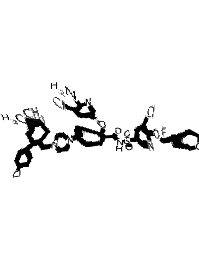 CC1(C)CCC(CN2CCN(c3ccc(C(=O)NS(=O)(=O)c4cnc(OCC5(F)CCOCC5)c(Cl)c4)c(Oc4cnc(N)c(Cl)c4)c3)CC2)=C(c2ccc(Cl)cc2)C1